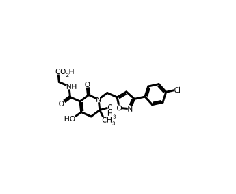 CC1(C)CC(O)=C(C(=O)NCC(=O)O)C(=O)N1Cc1cc(-c2ccc(Cl)cc2)no1